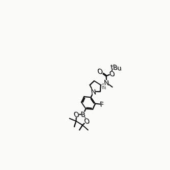 CN(C(=O)OC(C)(C)C)[C@H]1CCN(c2ccc(B3OC(C)(C)C(C)(C)O3)cc2F)C1